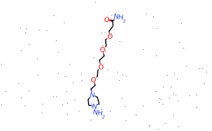 NC(=O)CCOCCOCCOCCOCCN1CCN(N)CC1